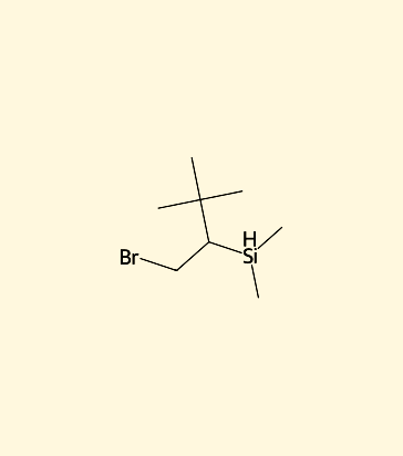 C[SiH](C)C(CBr)C(C)(C)C